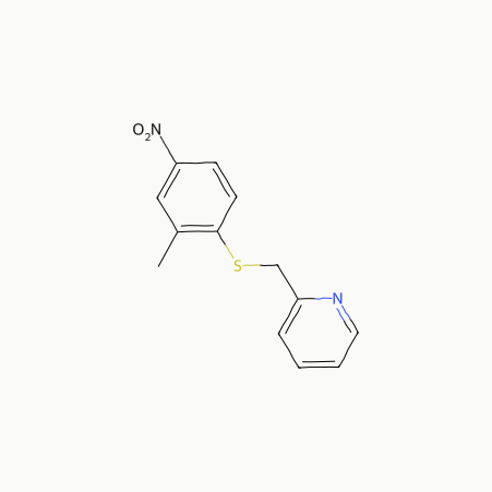 Cc1cc([N+](=O)[O-])ccc1SCc1ccccn1